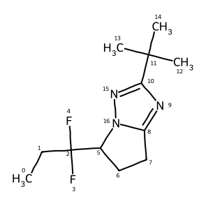 CCC(F)(F)C1CCc2nc(C(C)(C)C)nn21